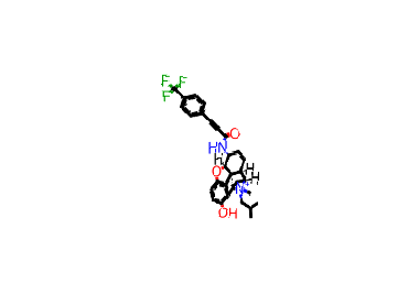 CC(C)C[N+]1(C)CC[C@@]23c4c5ccc(O)c4C[C@@H]1[C@@H]2CC[C@@H](NC(=O)C#Cc1ccc(C(F)(F)F)cc1)[C@@H]3O5